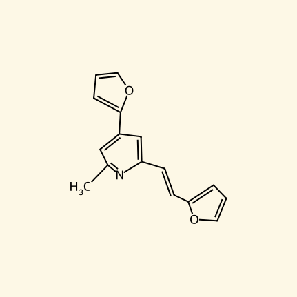 Cc1cc(-c2ccco2)cc(/C=C/c2ccco2)n1